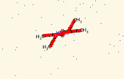 CCCCCCCCCCCCN(CCCCCCCCCCCC)CCCCC1NC(=O)C(CCCCN(CCCCCCCCCCCC)CCCCCCCCCCCC)NC1=O